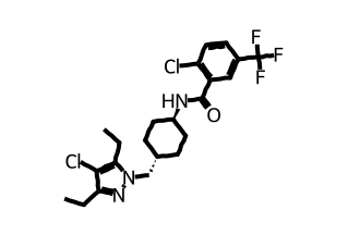 CCc1nn(C[C@H]2CC[C@H](NC(=O)c3cc(C(F)(F)F)ccc3Cl)CC2)c(CC)c1Cl